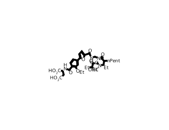 CCCCCC(C(=O)NCNC(=O)c1ccc(-c2ccc(C(=O)NC(CC(=O)O)C(=O)O)c(OCC)c2)o1)[C@@H](CC)N(C=O)OC(=O)C(CC)CC